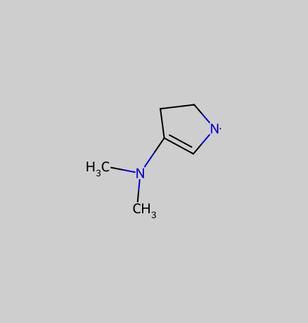 CN(C)C1=C[N]CC1